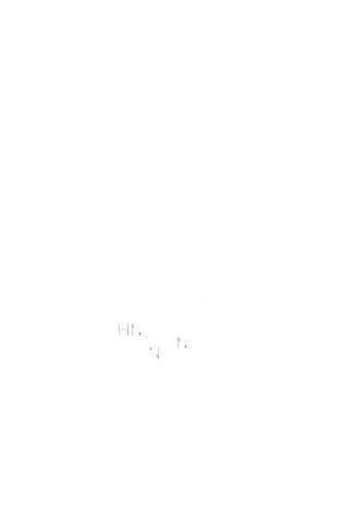 c1[nH]nnc1OC1CCC2(CCCCC2)CC1